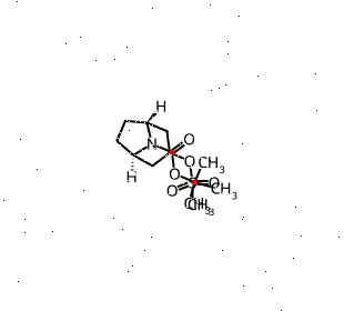 CC(C)(C)OC(=O)N1[C@@H]2CC[C@@H]1CC(OS(C)(=O)=O)C2